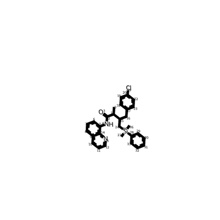 CC(C(=O)Nc1cccc2cccnc12)C(Cc1ccc(Cl)cc1)C[Si](C)(C)c1ccccc1